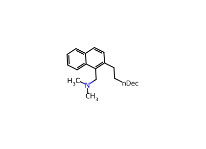 CCCCCCCCCCCCc1ccc2ccccc2c1CN(C)C